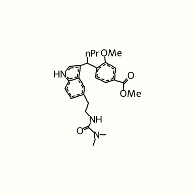 CCCC(c1ccc(C(=O)OC)cc1OC)c1c[nH]c2ccc(CCNC(=O)N(C)C)cc12